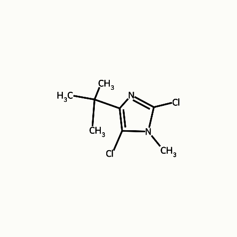 Cn1c(Cl)nc(C(C)(C)C)c1Cl